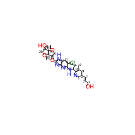 OC/C=C/c1cnc2c(c1)CCC2Nc1nc2nc(O[C@@H]3CO[C@H]4[C@@H]3OC[C@H]4O)[nH]c2cc1Cl